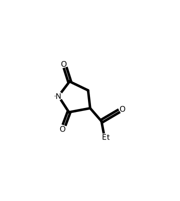 CCC(=O)C1CC(=O)[N]C1=O